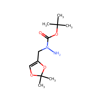 CC(C)(C)OC(=O)N(N)CC1=COC(C)(C)O1